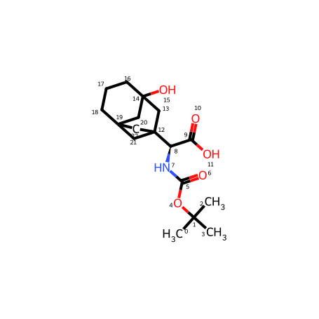 CC(C)(C)OC(=O)N[C@H](C(=O)O)C12CC3(O)CCCC(C3)(C1)C2